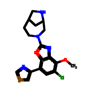 FC(F)(F)Oc1c(Cl)cc(-c2cscn2)c2oc(N3CCC4CNC(C4)C3)nc12